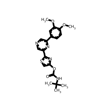 COc1ccc(-c2cncc(-c3nc(OC(=O)NC(C)(C)C)cs3)n2)cc1OC